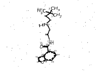 CC(C)(C)CCNCCNC(=O)c1cccc2occc12